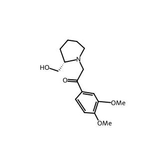 COc1ccc(C(=O)CN2CCCC[C@H]2CO)cc1OC